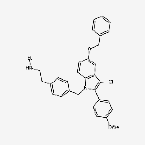 CCNCCc1ccc(Cn2c(-c3ccc(OC)cc3)c(Cl)c3cc(OCc4ccccc4)ccc32)cc1